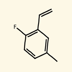 C=Cc1cc(C)ccc1F